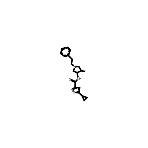 CC1CN(CCc2ccccc2)CC1NC(=O)c1cc(C2CC2)on1